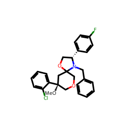 CO[C@]1(c2ccccc2Cl)COCC2(C1)OC[C@H](c1ccc(F)cc1)N2Cc1ccccc1